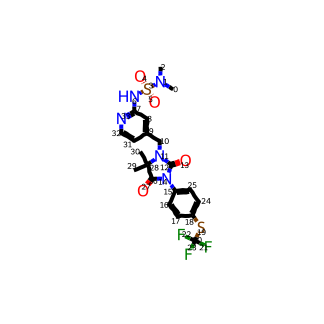 CN(C)S(=O)(=O)Nc1cc(CN2C(=O)N(c3ccc(SC(F)(F)F)cc3)C(=O)C2(C)C)ccn1